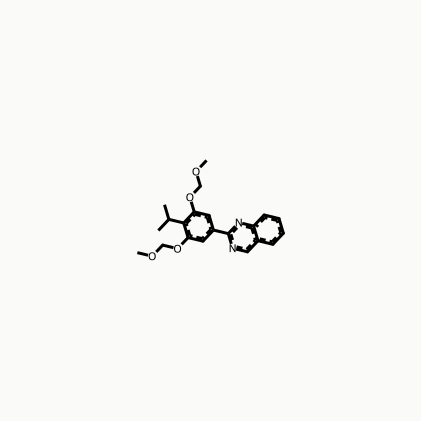 COCOc1cc(-c2ncc3ccccc3n2)cc(OCOC)c1C(C)C